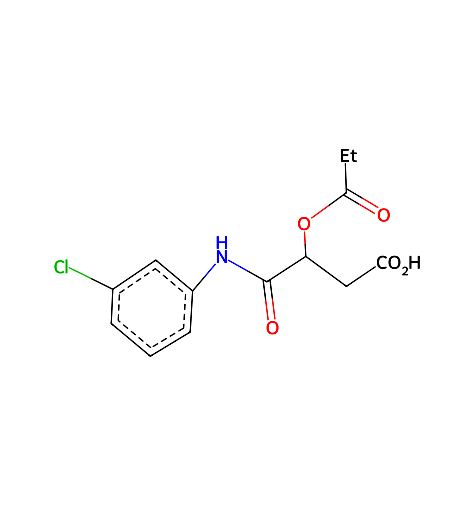 CCC(=O)OC(CC(=O)O)C(=O)Nc1cccc(Cl)c1